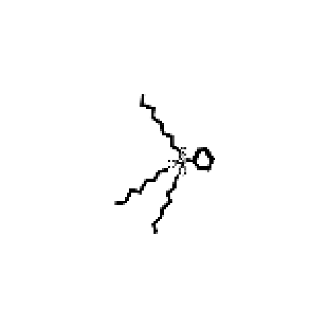 CCCCCCCCO[Si](OCCCCCCCC)(OCCCCCCCC)c1ccccc1